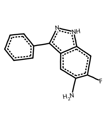 Nc1cc2c(-c3ccccc3)n[nH]c2cc1F